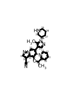 Cc1c(-c2cc(O[C@H](C)c3ccccn3)c3c(C#N)cnn3c2)cnn1[C@H]1CCCNC1